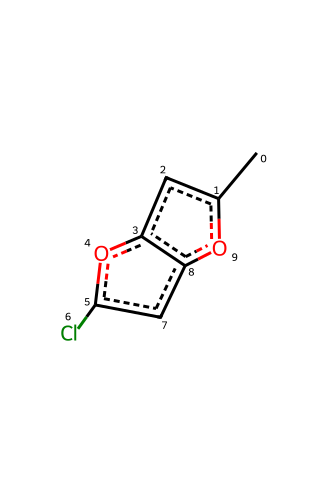 Cc1cc2oc(Cl)cc2o1